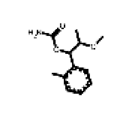 COC(C)C(OC(N)=O)c1ccccc1F